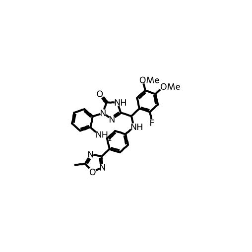 COc1cc(F)c(C(Nc2ccc(-c3noc(C)n3)cc2)c2nn(-c3ccccc3N)c(=O)[nH]2)cc1OC